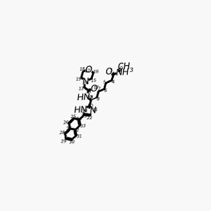 CNC(=O)CCCCC[C@H](NC(=O)CN1CCOCC1)c1ncc(-c2ccc3ccccc3c2)[nH]1